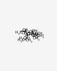 CCC(C)(C)C(=O)Oc1ccc(C(CC(C)OC(=O)C(C)(C)C)[C@H](N)C(=O)O)cc1OC(=O)C(C)(C)CC